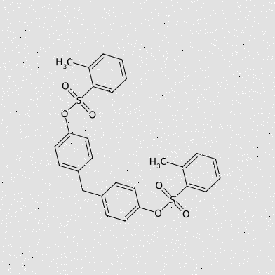 Cc1ccccc1S(=O)(=O)Oc1ccc(Cc2ccc(OS(=O)(=O)c3ccccc3C)cc2)cc1